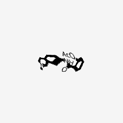 CC(=O)Oc1ccccc1C(=O)Nc1ccc2c(c1)CN(C)CC2